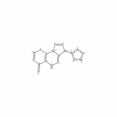 O=C1C=NCC2=C1NC=C1N2C=CN1n1ccnc1